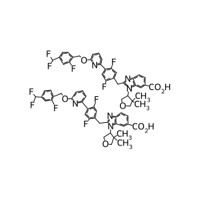 CC1(C)COCC1n1c(Cc2cc(F)c(-c3cccc(OCc4ccc(C(F)F)cc4F)n3)cc2F)nc2ccc(C(=O)O)cc21.CC1(C)COCC1n1c(Cc2cc(F)c(-c3cccc(OCc4ccc(C(F)F)cc4F)n3)cc2F)nc2ccc(C(=O)O)cc21